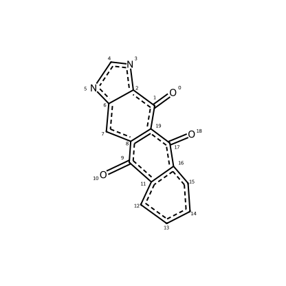 O=c1c2ncnc-2cc2c(=O)c3ccccc3c(=O)c1=2